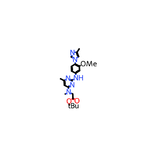 COc1cc(Nc2nc(C)cc(N(C)CC(=O)OC(C)(C)C)n2)ccc1-n1cnc(C)c1